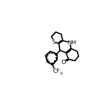 O=C1CCCC2=C1C(c1cccc(C(F)(F)F)c1)C1=C(CCCS1)N2